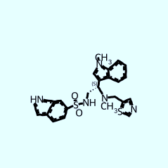 CN(Cc1cncs1)[C@H](CNS(=O)(=O)c1ccc2cc[nH]c2c1)c1cn(C)c2ccccc12